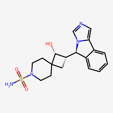 NS(=O)(=O)N1CCC2(CC1)C[C@@H]([C@@H]1c3ccccc3-c3cncn31)[C@H]2O